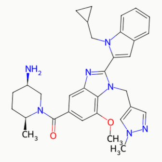 COc1cc(C(=O)N2C[C@H](N)CC[C@@H]2C)cc2nc(-c3cc4ccccc4n3CC3CC3)n(Cc3cnn(C)c3)c12